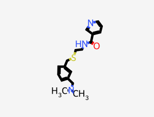 CN(C)Cc1cccc(CSCCNC(=O)c2cccnc2)c1